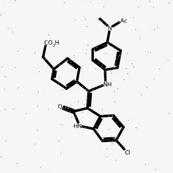 CC(=O)N(C)c1ccc(NC(=C2C(=O)Nc3cc(Cl)ccc32)c2ccc(CC(=O)O)cc2)cc1